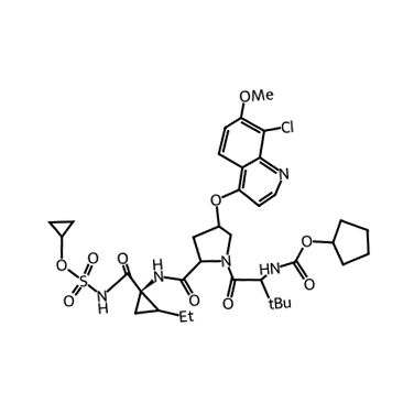 CCC1C[C@]1(NC(=O)C1CC(Oc2ccnc3c(Cl)c(OC)ccc23)CN1C(=O)C(NC(=O)OC1CCCC1)C(C)(C)C)C(=O)NS(=O)(=O)OC1CC1